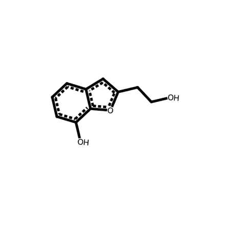 OCCc1cc2cccc(O)c2o1